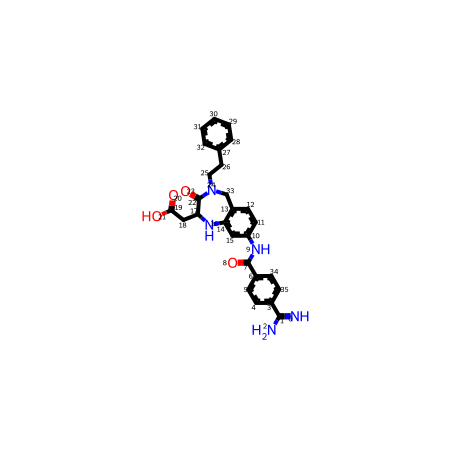 N=C(N)c1ccc(C(=O)Nc2ccc3c(c2)NC(CC(=O)O)C(=O)N(CCc2ccccc2)C3)cc1